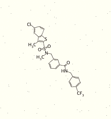 Cc1c(S(=O)(=O)N(C)Cc2cccc(C(=O)NCc3ccc(C(F)(F)F)cc3)c2)sc2ccc(Cl)cc12